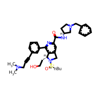 CCCC[S@@+]([O-])N1Cc2cc(C(=O)N[C@@H]3CCN(Cc4ccccc4)C3)nc(-c3cccc(C#CCN(C)C)c3)c2[C@H]1CCO